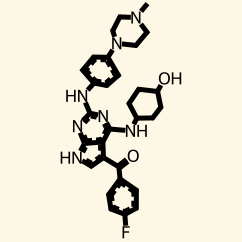 CN1CCN(c2ccc(Nc3nc(NC4CCC(O)CC4)c4c(C(=O)c5ccc(F)cc5)c[nH]c4n3)cc2)CC1